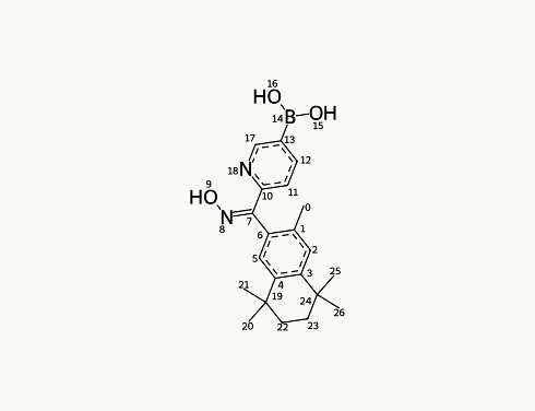 Cc1cc2c(cc1/C(=N/O)c1ccc(B(O)O)cn1)C(C)(C)CCC2(C)C